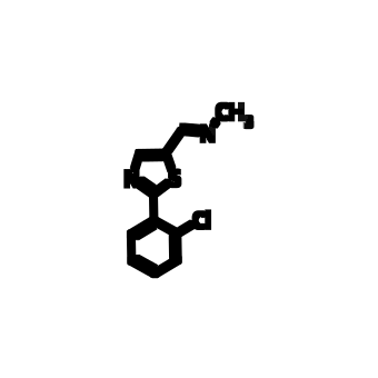 CN=Cc1cnc(-c2ccccc2Cl)s1